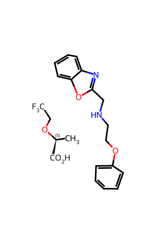 C[C@H](OCC(F)(F)F)C(=O)O.c1ccc(OCCNCc2nc3ccccc3o2)cc1